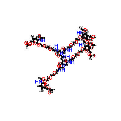 CC(=O)NC1C(OCCOCCOCCNC(=O)CN(CC(=O)NCCOCCOCCOC2OC(COC(C)=O)C(OC(C)=O)C(C)C2NC(C)=O)C(=O)CCC(N)C(=O)N(CC(=O)NCCOCCOCCOC2OC(COC(C)=O)C(C)C(C)C2NC(C)=O)CC(=O)NCCOCCOCCOC2OC(COC(C)=O)C(C)C(C)C2NC(C)=O)OC(COC(C)=O)C(C)C1C